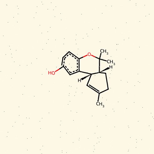 CC1=C[C@@H]2c3cc(O)ccc3OC(C)(C)[C@@H]2CC1